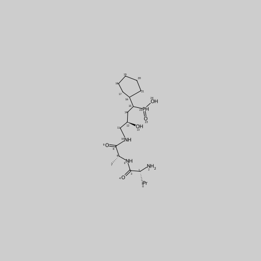 CC(C)[C@@H](N)C(=O)N[C@H](C)C(=O)NC[C@H](O)CC(C1CCCCC1)[PH](=O)O